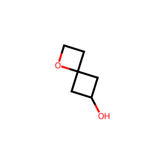 OC1CC2(CCO2)C1